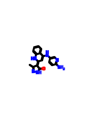 CC1=NNC(=O)C1=C1C=C(Nc2ccc(N)nc2)c2ccccc2N1